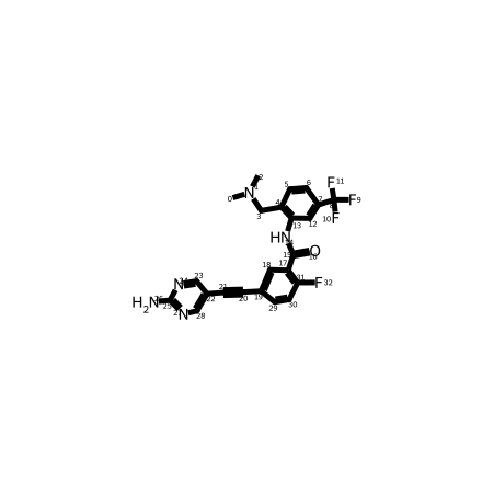 CN(C)Cc1ccc(C(F)(F)F)cc1NC(=O)c1cc(C#Cc2cnc(N)nc2)ccc1F